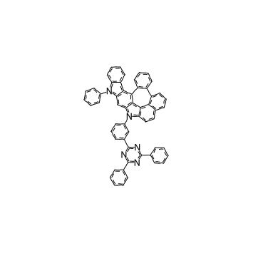 c1ccc(-c2nc(-c3ccccc3)nc(-c3cccc(-n4c5cc6c(c7c5c5c8c(cccc8ccc54)-c4ccccc4-7)c4ccccc4n6-c4ccccc4)c3)n2)cc1